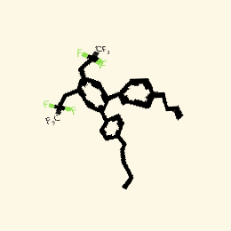 C=CCCc1ccc(-c2cc(CC(F)(F)C(F)(F)F)c(CC(F)(F)C(F)(F)F)cc2-c2ccc(CCC=C)cc2)cc1